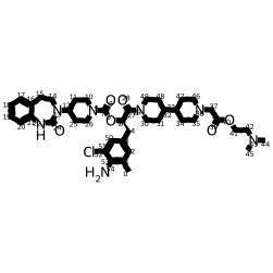 Cc1cc(C[C@@H](OC(=O)N2CCC(N3CCc4ccccc4NC3=O)CC2)C(=O)N2CCC(C3CCN(CC(=O)OCCN(C)C)CC3)CC2)cc(Cl)c1N